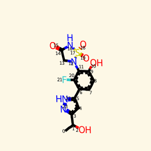 CC(O)c1cc(-c2ccc(O)c(N3CC(=O)NS3(=O)=O)c2F)[nH]n1